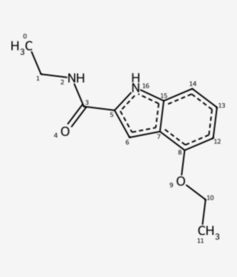 CCNC(=O)c1cc2c(OCC)cccc2[nH]1